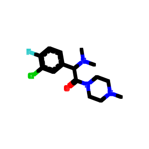 CN1CCN(C(=O)C(c2ccc(F)c(Cl)c2)N(C)C)CC1